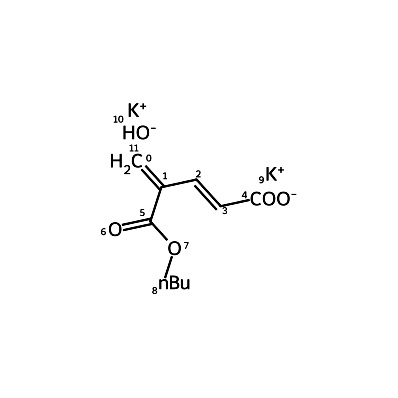 C=C(C=CC(=O)[O-])C(=O)OCCCC.[K+].[K+].[OH-]